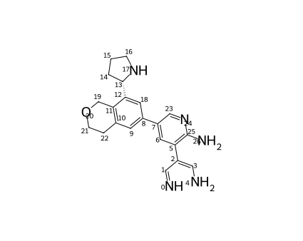 N=C/C(=C\N)c1cc(-c2cc3c(c([C@@H]4CCCN4)c2)COCC3)cnc1N